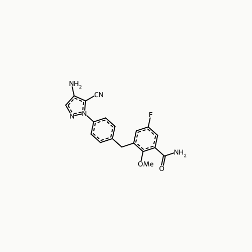 COc1c(Cc2ccc(-n3ncc(N)c3C#N)cc2)cc(F)cc1C(N)=O